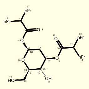 CCCC(CCC)C(=O)O[C@H]1C[C@@H](OC(=O)C(CCC)CCC)[C@H](O)[C@@H](CO)O1